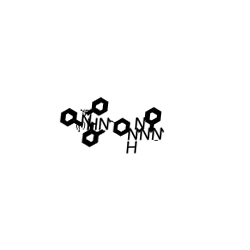 C[C@H](c1ccccc1)N(Cc1ccccc1CNC[C@H]1CC[C@@H](Nc2nc(N(C)C)c3ccccc3n2)CC1)[C@H](C)c1ccccc1